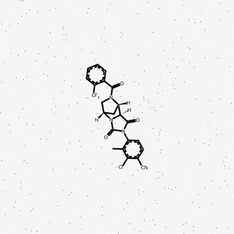 Cc1c(N2C(=O)[C@@H]3[C@@H]4C[C@@H](CN4C(=O)c4ccccc4C(F)(F)F)N3C2=O)ccc(C#N)c1Cl